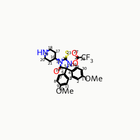 COc1ccc(C2(c3ccc(OC)cc3)C(=O)N(C3CCNCC3)C(=S)N2OC(=O)C(F)(F)F)cc1